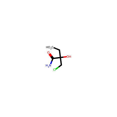 NC(=O)C(O)(CCl)CC(=O)O